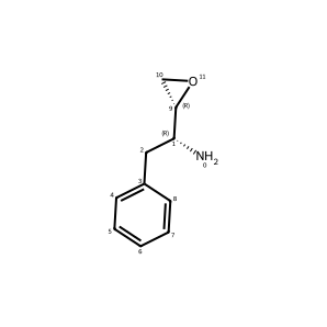 N[C@H](Cc1ccccc1)[C@@H]1CO1